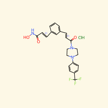 Cl.O=C(/C=C/c1cccc(/C=C/C(=O)N2CCN(c3ccc(C(F)(F)F)cc3)CC2)c1)NO